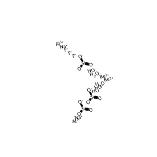 O.O.O=[Si]([O-])[O-].O=[Si]([O-])[O-].O=[Si]([O-])[O-].[Al+3].[Al+3].[Be+2].[Be+2].[F-].[F-].[F-].[Na+].[Na+].[OH-].[OH-].[OH-]